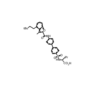 Cc1c(C(=O)Nc2ccc(-c3ccc(S(=O)(=O)N[C@H](C(=O)O)C(C)C)cc3)cc2)oc2cccc(CCC(C)(C)C)c12